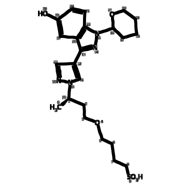 C[C@H](CCOCCCCS(=O)(=O)O)n1cc(-c2nn(C3CCCCO3)c3ccc(O)cc23)cn1